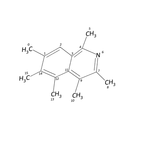 Cc1cc2c(C)nc(C)c(C)c2c(C)c1C